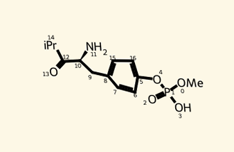 COP(=O)(O)Oc1ccc(C[C@H](N)C(=O)C(C)C)cc1